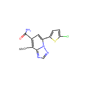 COc1c(C(N)=O)cc(-c2ccc(Cl)s2)n2n[c]nc12